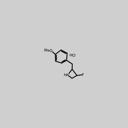 COc1ccc(CC2NCC2F)cc1.Cl